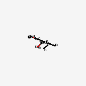 CC/C=C\CCCCOC(CCC(=O)OCC(CCCOC(=O)CCCCCCC/C=C\C/C=C\CCCCC)OC(=O)OCCCN(CC)CC)OCCCC/C=C\CC